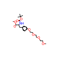 COCCOCCOCCOc1ccc(CC(NC(=O)OC(C)(C)C)C(=O)OC)cc1